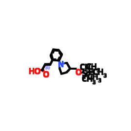 CC(C)(C)[Si](C)(C)OCC1CCCN(c2ccccc2/C=C/C(=O)O)C1